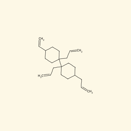 C=CCC1CCC(CC=C)(C2(CC=C)CCC(C=C)CC2)CC1